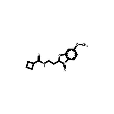 COc1ccc2c(c1)OC(CCNC(=O)C1CCC1)[N+]2=O